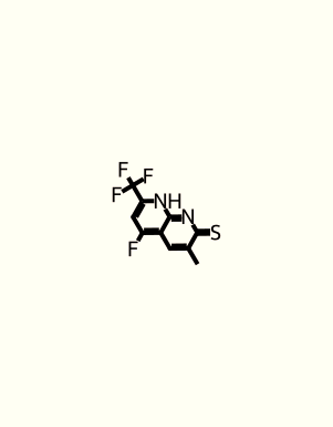 Cc1cc2c(F)cc(C(F)(F)F)[nH]c-2nc1=S